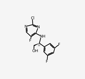 OC[C@@H](Nc1nc(Cl)ncc1F)c1cc(F)cc(F)c1